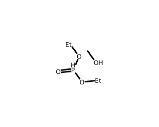 CCO[PH](=O)OCC.CO